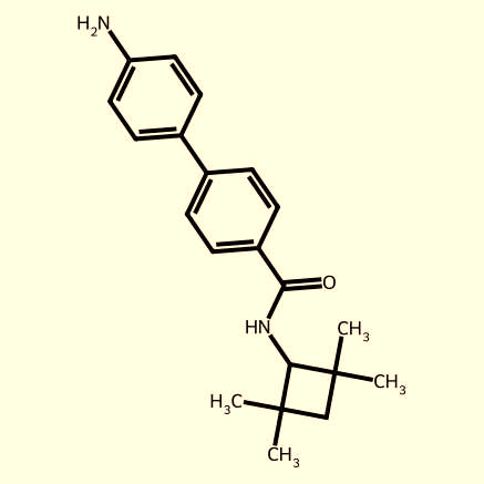 CC1(C)CC(C)(C)C1NC(=O)c1ccc(-c2ccc(N)cc2)cc1